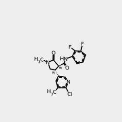 Cc1cc([C@@H]2CN(C)C(=O)[C@H]2C(=O)Nc2cccc(F)c2F)cnc1Cl